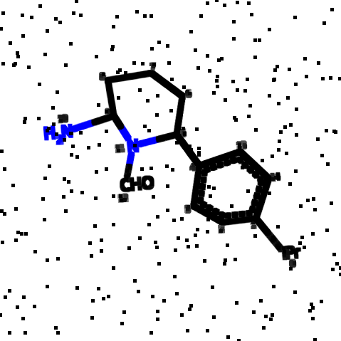 CC(C)c1ccc(C2CCCC(N)N2C=O)cc1